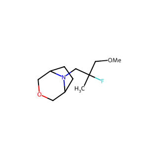 COCC(C)(F)CN1C2CCC1COC2